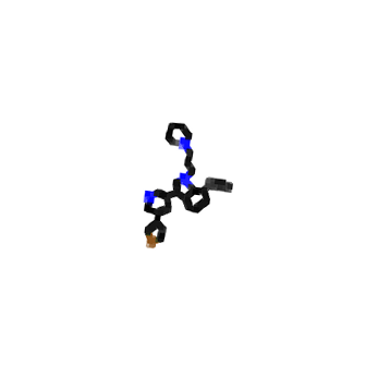 COc1cccc2c(-c3cncc(-c4ccsc4)c3)cn(CCCN3CCCCC3)c12